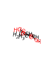 C=C(CCCO)C(=O)Oc1ccc(C(C)(C)c2ccc(OC(=O)C(=C)CCCO)cc2)cc1